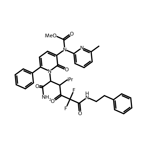 COC(=O)N(c1cccc(C)n1)c1ccc(-c2ccccc2)n(C(C(N)=O)C(C(=O)C(F)(F)C(=O)NCCc2ccccc2)C(C)C)c1=O